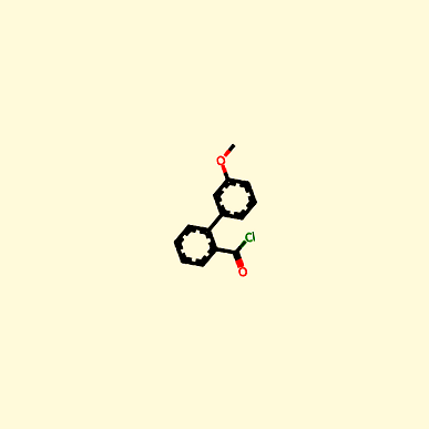 COc1cccc(-c2ccccc2C(=O)Cl)c1